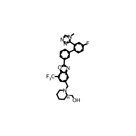 Cn1cnnc1-c1cc(F)ccc1-c1cccc(-c2nc3cc(CN4CCCC[C@@H]4CO)cc(C(F)(F)F)c3o2)c1